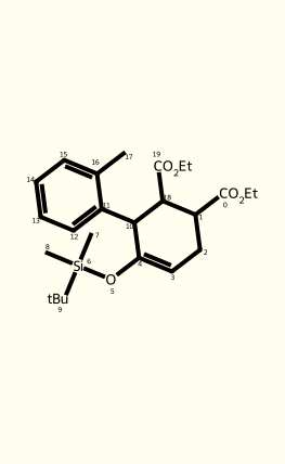 CCOC(=O)C1CC=C(O[Si](C)(C)C(C)(C)C)C(c2ccccc2C)C1C(=O)OCC